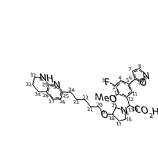 COc1c(F)cc(-c2ccno2)cc1[C@@H](C(=O)O)N1CC[C@@H](OCCCCCc2ccc3c(n2)NCCC3)C1